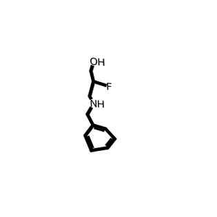 OCC(F)CNCc1ccccc1